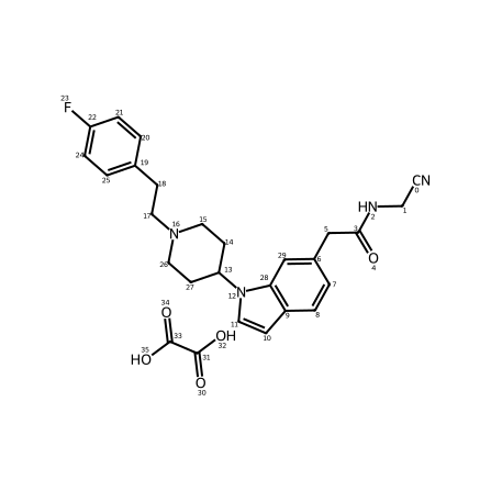 N#CCNC(=O)Cc1ccc2ccn(C3CCN(CCc4ccc(F)cc4)CC3)c2c1.O=C(O)C(=O)O